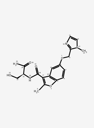 Cc1oc2ccc(OCc3nccn3C)cc2c1C(=O)N[C@@H](CO)C(N)=O